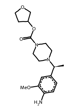 COc1cc([C@H](C)N2CCN(C(=O)OC3CCOC3)CC2)ccc1N